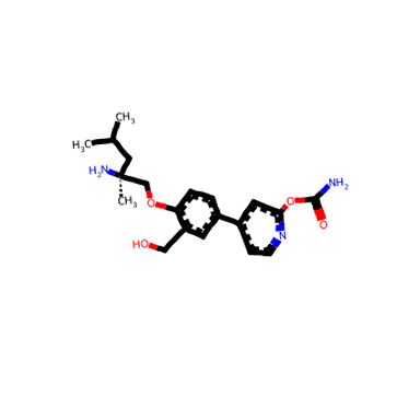 CC(C)C[C@](C)(N)COc1ccc(-c2ccnc(OC(N)=O)c2)cc1CO